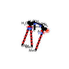 CCCCCN1\C(=C/C=C/C=C/C2=[N+](CCCCCC(=O)O)c3cc4c(cc3C2(C)C)-c2ccc(C)cc2C4(CCC(=O)NCCOCCOCCOCCOCCOCCOC)CCC(=O)NCCOCCOCCOCCOCCOCCOC)C(C)(C)c2cc3c(cc21)C(CCC(C)=O)(CCC(=O)NCCOCCOCCOCCOCCOCCOC)c1cc(S(=O)(=O)[O-])ccc1-3